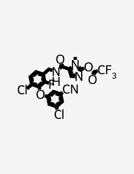 Cn1c(C(=O)NCc2ccc(Cl)c(Oc3cc(Cl)cc(C#N)c3)c2F)cnc1OC(=O)C(F)(F)F